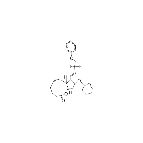 O=C1CCC/C=C\C[C@@H]2[C@@H](/C=C/C(F)(F)COc3ccccc3)[C@H](OC3CCCCO3)C[C@@H]2O1